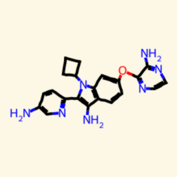 Nc1ccc(-c2c(N)c3ccc(Oc4nccnc4N)cc3n2C2CCC2)nc1